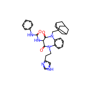 O=C(Nc1ccccc1)NC1C(=O)N(CCc2c[nH]cn2)c2ccccc2N(CC23CC4CC(CC(C4)C2)C3)C1=O